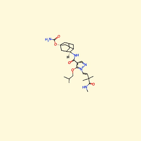 CNC(=O)C(C)(C)/C=C/n1ncc(C(=O)N[C@H]2C3CC4CC2C[C@](OC(N)=O)(C4)C3)c1OCC(C)C